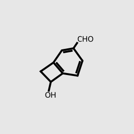 O=Cc1ccc2c(c1)CC2O